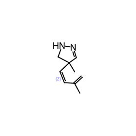 C=C(C)/C=C\C1(C)C=NNC1